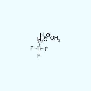 O.O.O.[F][Ti]([F])([F])[F]